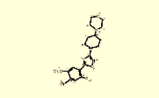 COc1cc(-c2nc(N3CCC(N4CCOCC4)CC3)no2)c(F)cc1C(C)C